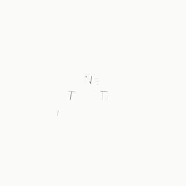 [Na].[Ti].[Ti].[Ti]